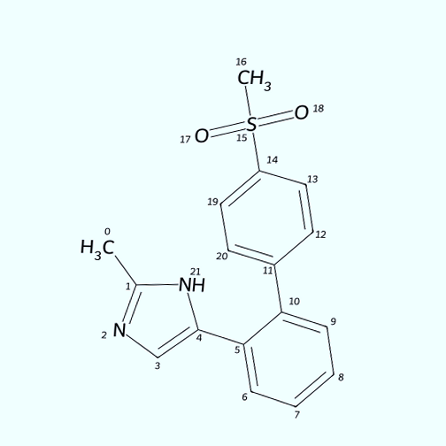 Cc1ncc(-c2ccccc2-c2ccc(S(C)(=O)=O)cc2)[nH]1